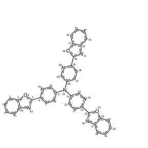 c1ccc2oc(-c3ccc(N(c4ccc(-c5nc6ccccc6o5)nc4)c4ccc(-c5nc6ccccc6o5)nc4)cn3)nc2c1